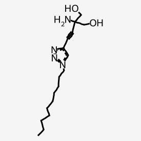 CCCCCCCCCCn1cc(C#CC(N)(CO)CO)nn1